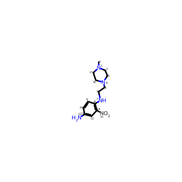 CN1CCN(CCNc2ccc(N)cc2[N+](=O)[O-])CC1